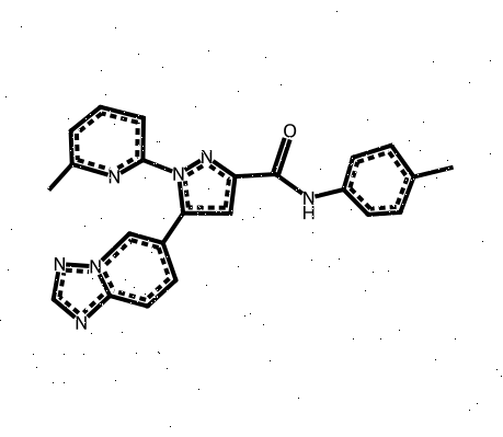 Cc1ccc(NC(=O)c2cc(-c3ccc4ncnn4c3)n(-c3cccc(C)n3)n2)cc1